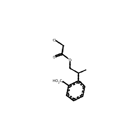 CC(COC(=O)CCl)c1ccccc1C(=O)O